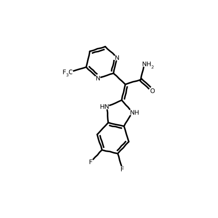 NC(=O)C(=C1Nc2cc(F)c(F)cc2N1)c1nccc(C(F)(F)F)n1